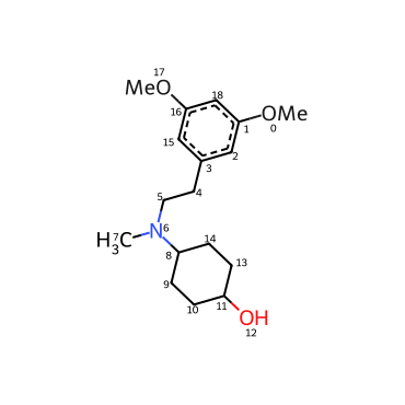 COc1cc(CCN(C)C2CCC(O)CC2)cc(OC)c1